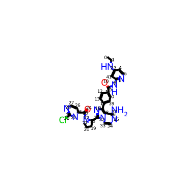 CCNc1ccnc(NC(=O)c2ccc(-c3nc(C4CCCN4C(=O)c4ccnc(Cl)n4)n4ccnc(N)c34)cc2)c1